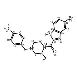 C[C@H]1CN(Cc2ccc(C(F)(F)F)cc2)CCN1C(=O)c1nc2cc(Br)ccc2[nH]1